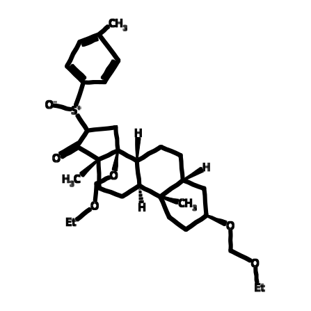 CCOCO[C@H]1CC[C@@]2(C)[C@H](CC[C@@H]3[C@@H]2CC[C@]2(C)C(=O)C([S+]([O-])c4ccc(C)cc4)C[C@]32OCOCC)C1